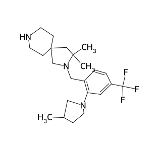 CC1CCN(c2cc(C(F)(F)F)ccc2CN2CC3(CCNCC3)CC2(C)C)C1